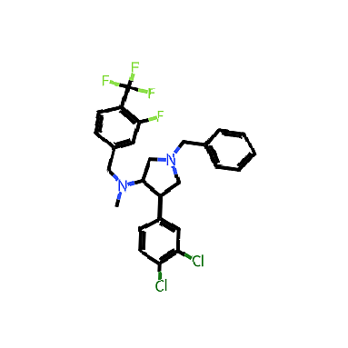 CN(Cc1ccc(C(F)(F)F)c(F)c1)C1CN(Cc2ccccc2)CC1c1ccc(Cl)c(Cl)c1